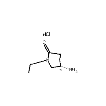 CCN1C[C@@H](N)CC1=O.Cl